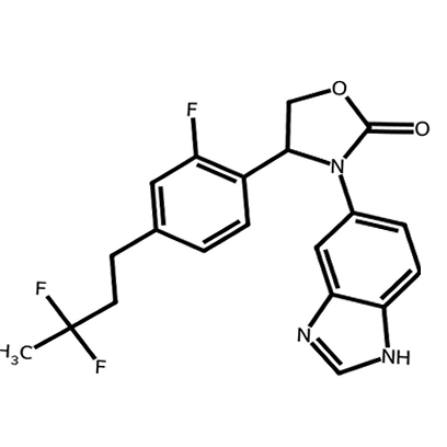 CC(F)(F)CCc1ccc(C2COC(=O)N2c2ccc3[nH]cnc3c2)c(F)c1